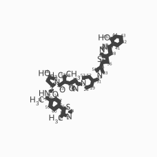 Cc1ncsc1-c1ccc([C@H](C)NC(=O)[C@@H]2C[C@@H](O)CN2C(=O)C(c2cc(N3CCC(CN4CC(c5cc6cc(-c7ccccc7O)nnc6s5)C4)CC3)no2)C(C)C)cc1